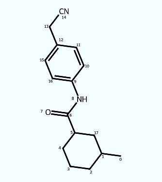 CC1CCCC(C(=O)Nc2ccc(CC#N)cc2)C1